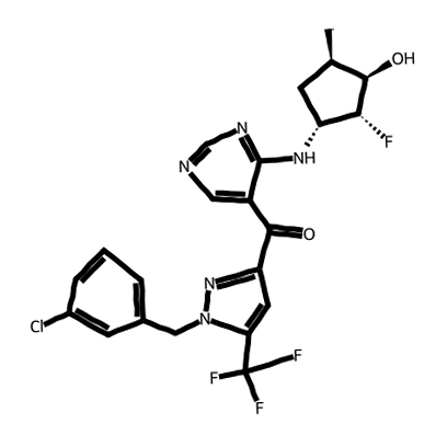 [CH2][C@@H]1C[C@@H](Nc2ncncc2C(=O)c2cc(C(F)(F)F)n(Cc3cccc(Cl)c3)n2)[C@@H](F)[C@@H]1O